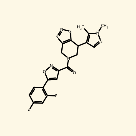 Cc1c(C2CN(C(=O)c3cc(-c4ccc(F)cc4F)on3)Cc3nnsc32)cnn1C